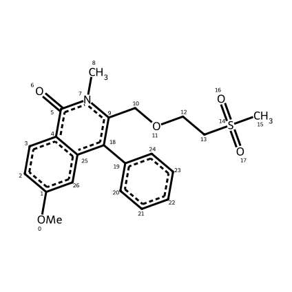 COc1ccc2c(=O)n(C)c(COCCS(C)(=O)=O)c(-c3ccccc3)c2c1